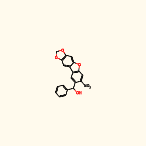 O=[N+]([O-])c1cc2oc3cc4c(cc3c2cc1C(O)c1ccccc1)OCO4